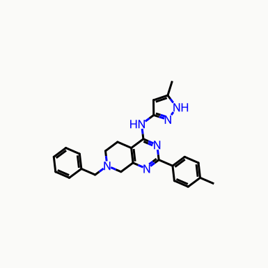 Cc1ccc(-c2nc3c(c(Nc4cc(C)[nH]n4)n2)CCN(Cc2ccccc2)C3)cc1